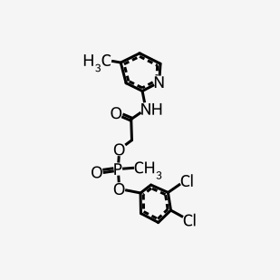 Cc1ccnc(NC(=O)COP(C)(=O)Oc2ccc(Cl)c(Cl)c2)c1